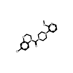 COc1ncccc1N1CCN(C(=O)N2CCOc3cc(Cl)ccc32)CC1